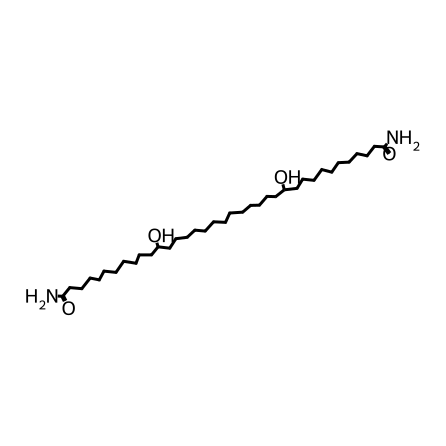 NC(=O)CCCCCCCCCCC(O)CCCCCCCCCCCCCC(O)CCCCCCCCCCC(N)=O